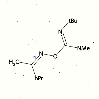 CCC/C(C)=N\OC(=NC(C)(C)C)NC